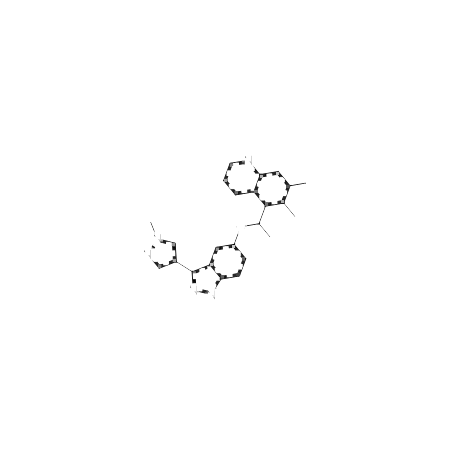 Cc1c(F)cc2ncccc2c1C(C)Oc1ccc2[nH]nc(-c3cnn(C)c3)c2c1